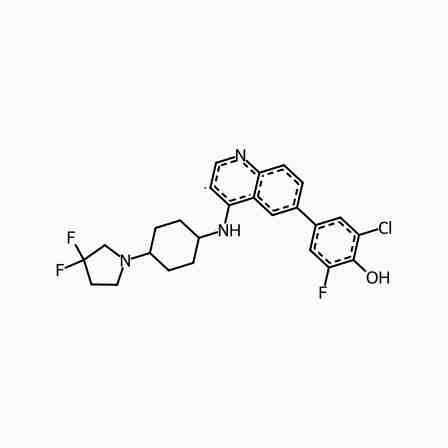 Oc1c(F)cc(-c2ccc3nc[c]c(NC4CCC(N5CCC(F)(F)C5)CC4)c3c2)cc1Cl